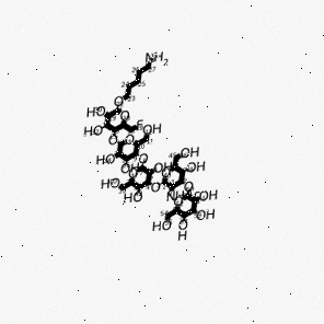 CC(=O)NC1[C@H](O[C@@H]2C(O)[C@@H](O[C@H]3C(CO)O[C@@H](O[C@@H]4C(CF)O[C@@H](OCCCCCN)C(O)[C@H]4O)C(O)[C@H]3O)OC(CO)[C@@H]2O)OC(CO)[C@H](O)[C@@H]1O[C@@H]1OC(CO)[C@H](O)[C@H](O)C1O